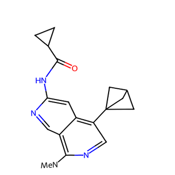 CNc1ncc(C23CC(C2)C3)c2cc(NC(=O)C3CC3)ncc12